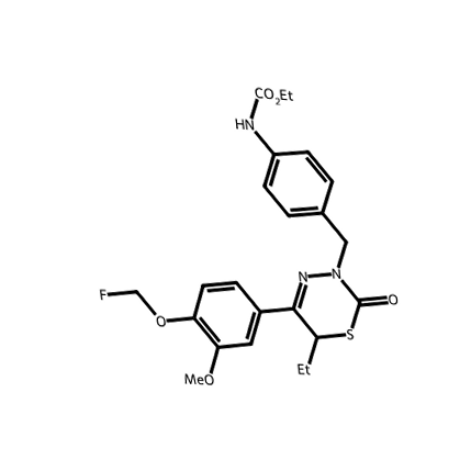 CCOC(=O)Nc1ccc(CN2N=C(c3ccc(OCF)c(OC)c3)C(CC)SC2=O)cc1